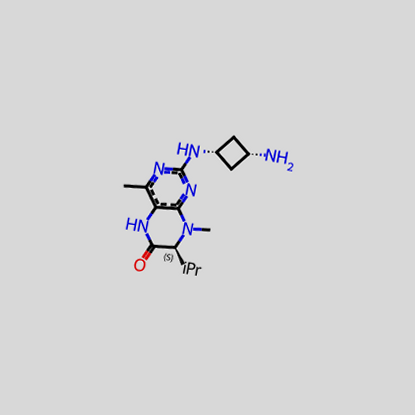 Cc1nc(N[C@H]2C[C@@H](N)C2)nc2c1NC(=O)[C@H](C(C)C)N2C